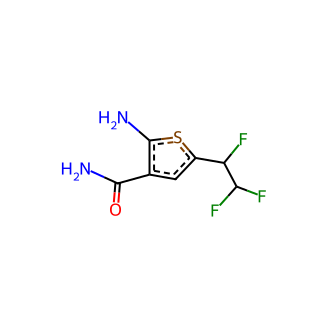 NC(=O)c1cc(C(F)C(F)F)sc1N